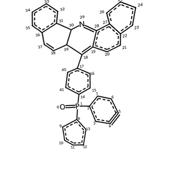 O=P(c1cc#ccc1)(c1ccccc1)c1ccc(C2=c3ccc4ccccc4c3=NC3c4ccccc4C=CC23)cc1